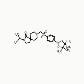 CC(C)N1CCC2(CCC(CS(=O)(=O)c3ccc(B4OC(C)(C)C(C)(C)O4)cc3)CC2)C1=O